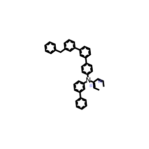 C/C=C\C(=C/C)N(c1ccc(-c2cccc(-c3cccc(Cc4ccccc4)c3)c2)cc1)c1cccc(-c2ccccc2)c1